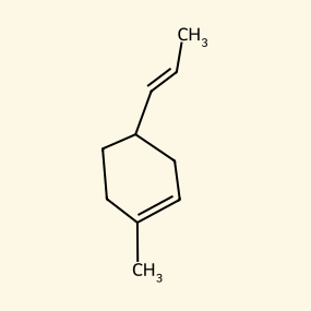 C/C=C/C1CC=C(C)CC1